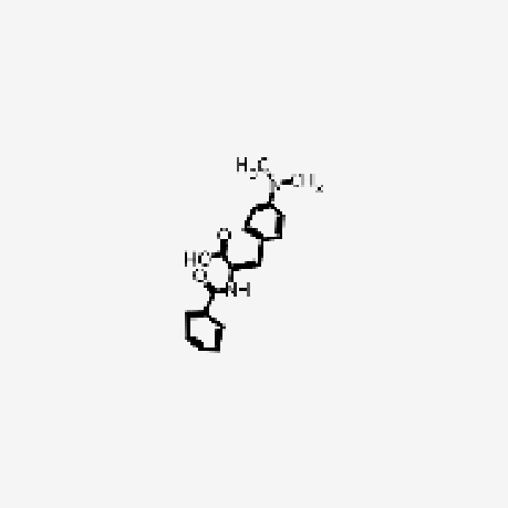 CN(C)c1ccc(/C=C(/NC(=O)c2ccccc2)C(=O)O)cc1